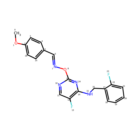 COc1ccc(C=NOc2ncc(F)c(NCc3ccccc3F)n2)cc1